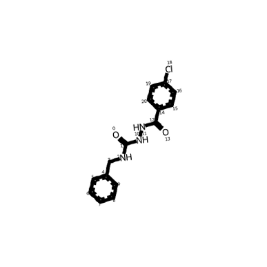 O=C(NCc1ccccc1)NNC(=O)c1ccc(Cl)cc1